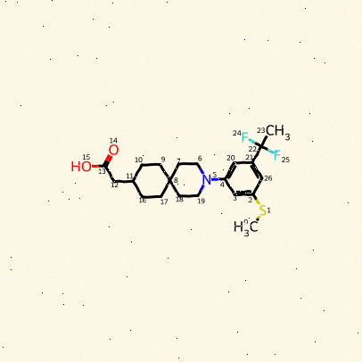 CSc1cc(N2CCC3(CCC(CC(=O)O)CC3)CC2)cc(C(C)(F)F)c1